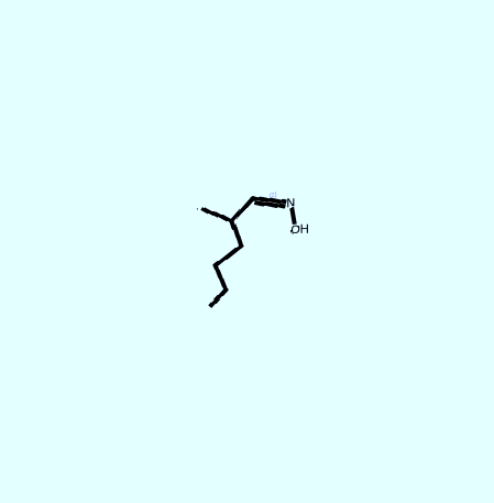 [CH2]C(/C=N\O)CCCC